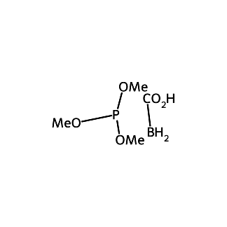 BC(=O)O.COP(OC)OC